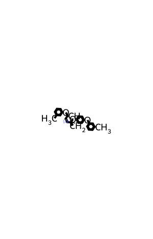 C=C(/C=C\C(=C)Oc1cccc(C)c1)Oc1ccc(Oc2cccc(C)c2)cc1